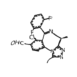 Cc1nnc2n1-c1ccc(C=O)c(Cl)c1C(c1c(F)cccc1F)=N[C@H]2C